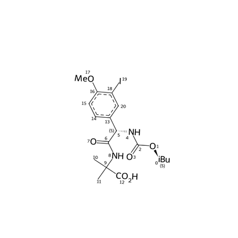 CC[C@H](C)OC(=O)N[C@H](C(=O)NC(C)(C)C(=O)O)c1ccc(OC)c(I)c1